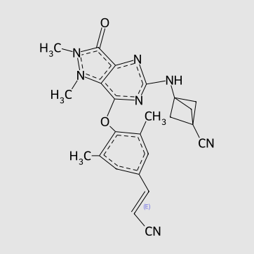 Cc1cc(/C=C/C#N)cc(C)c1Oc1nc(NC23CC(C#N)(C2)C3)nc2c(=O)n(C)n(C)c12